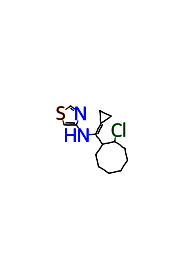 ClC1CCCCCCC1C(Nc1cscn1)=C1CC1